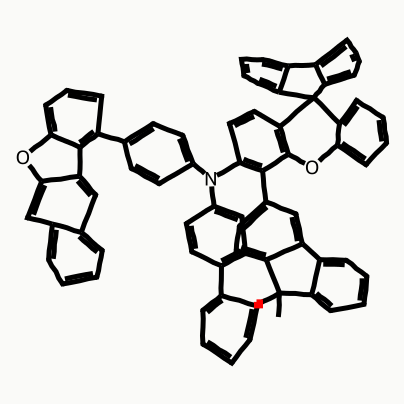 CC1(C)c2ccccc2-c2cc(-c3c(N(c4ccc(-c5ccccc5)cc4)c4ccc(-c5cccc6oc7cc8ccccc8cc7c56)cc4)ccc4c3Oc3ccccc3C43c4ccccc4-c4ccccc43)ccc21